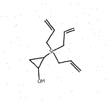 C=CC[Si](CC=C)(CC=C)C1CC1O